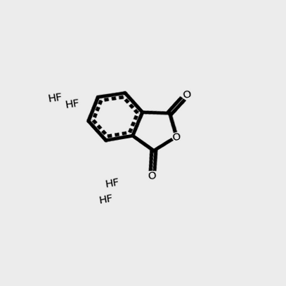 F.F.F.F.O=C1OC(=O)c2ccccc21